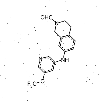 O=CN1CCc2ccc(Nc3cncc(OC(F)(F)F)c3)cc2C1